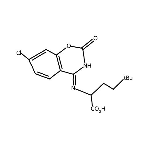 CC(C)(C)CCC(/N=c1\[nH]c(=O)oc2cc(Cl)ccc12)C(=O)O